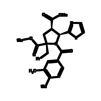 COC(=O)[C@H]1C[C@@](CC(C)C)(C(=O)OC(C)(C)C)N(C(=O)c2ccc(C(C)(C)C)c(C)c2)[C@H]1c1nccs1